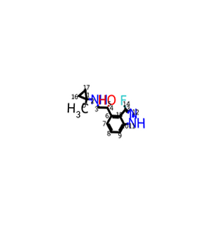 CC1(NC[C@H](O)c2cccc3[nH]nc(F)c23)CC1